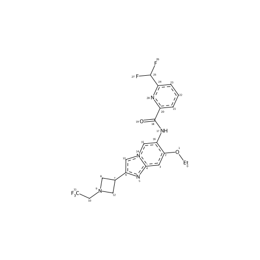 CCOc1cc2nc(C3CN(CC(F)(F)F)C3)cn2cc1NC(=O)c1cccc(C(F)F)n1